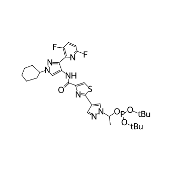 CC(OP(OC(C)(C)C)OC(C)(C)C)n1cc(-c2nc(C(=O)Nc3cn(C4CCCCC4)nc3-c3nc(F)ccc3F)cs2)cn1